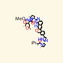 COC(=O)N[C@@H](C(=O)N1[C@@H](C)CC[C@H]1c1nc2ccc3cc4c(cc3c2[nH]1)OCc1cc(-c2cnc([C@@H]3CC[C@H](C)N3C(=O)[CH]C(C)C)[nH]2)ccc1-4)C1C[C@@H](C)O[C@H](C)C1